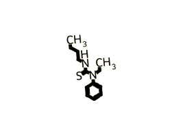 CCCCNC(=S)N(CC)c1ccccc1